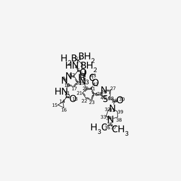 BC(B)(B)NC(=O)c1nnc(NC(=O)C2CC2)cc1Nc1cccc(-c2ncc(C(=O)N3CCN(C(C)C)CC3)s2)c1OC